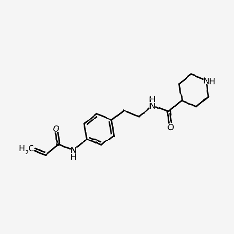 C=CC(=O)Nc1ccc(CCNC(=O)C2CCNCC2)cc1